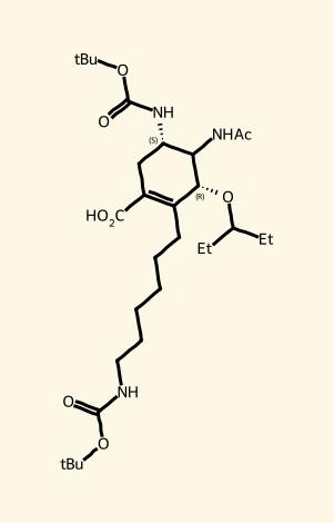 CCC(CC)O[C@@H]1C(CCCCCCNC(=O)OC(C)(C)C)=C(C(=O)O)C[C@H](NC(=O)OC(C)(C)C)C1NC(C)=O